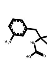 Nc1cccc(CC2(NC(=O)O)CC2)c1